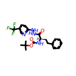 CC(C)(C)OC(=O)N[C@H](CCc1ccccc1)C(=O)NNc1ccc(C(F)(F)F)cn1